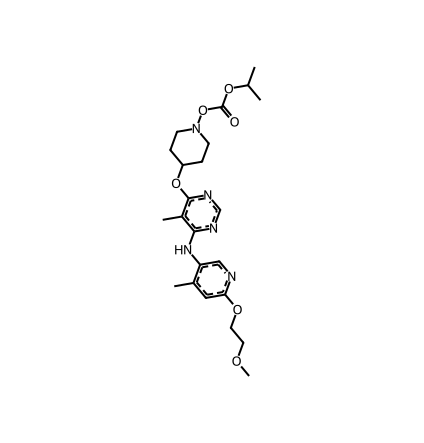 COCCOc1cc(C)c(Nc2ncnc(OC3CCN(OC(=O)OC(C)C)CC3)c2C)cn1